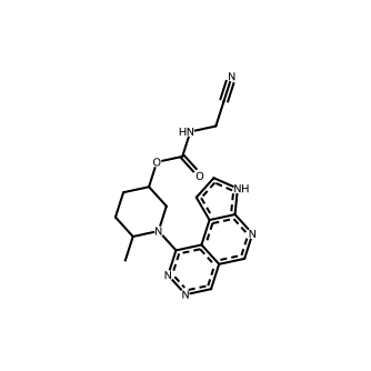 CC1CCC(OC(=O)NCC#N)CN1c1nncc2cnc3[nH]ccc3c12